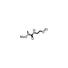 CCOCCNC(=O)N(C)OC